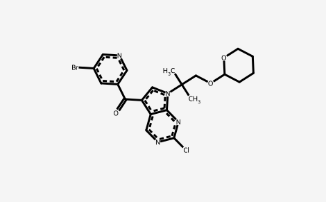 CC(C)(COC1CCCCO1)n1cc(C(=O)c2cncc(Br)c2)c2cnc(Cl)nc21